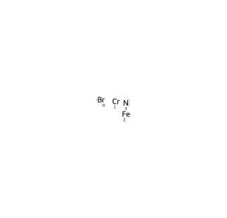 [Br].[Cr].[Fe].[N]